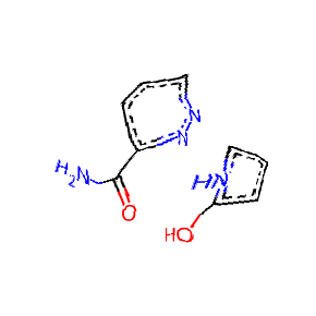 NC(=O)c1cccnn1.Oc1ccc[nH]1